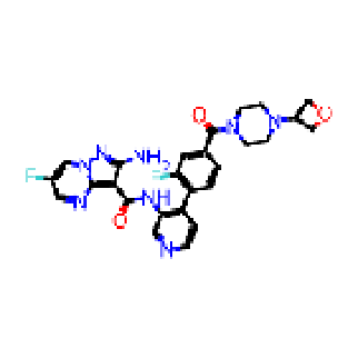 Nc1nn2cc(F)cnc2c1C(=O)Nc1cnccc1-c1ccc(C(=O)N2CCN(C3COC3)CC2)cc1F